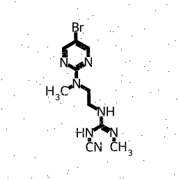 CN=C(NC#N)NCCN(C)c1ncc(Br)cn1